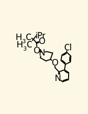 CC(C)C(C)(C)C(=O)ON1CCC(OCc2ncccc2-c2ccc(Cl)cc2)CC1